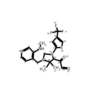 CNc1cnccc1CN1CN(c2cc(C(F)(F)F)cs2)C(C(=O)C=O)C1(C)C